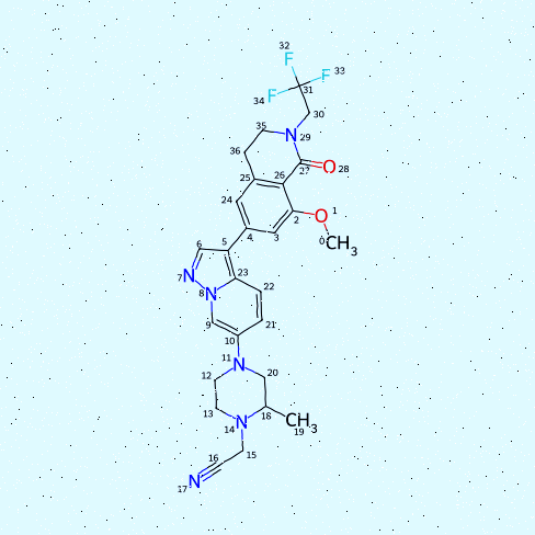 COc1cc(-c2cnn3cc(N4CCN(CC#N)C(C)C4)ccc23)cc2c1C(=O)N(CC(F)(F)F)CC2